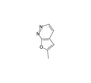 Cc1cc2ccnnc2o1